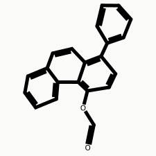 O=COc1ccc(-c2ccccc2)c2ccc3ccccc3c12